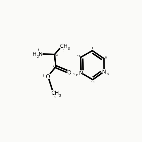 COC(=O)C(C)N.c1cncnc1